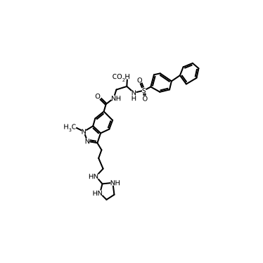 Cn1nc(CCCNC2NCCN2)c2ccc(C(=O)NCC(NS(=O)(=O)c3ccc(-c4ccccc4)cc3)C(=O)O)cc21